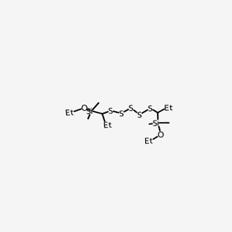 CCO[Si](C)(C)C(CC)SSSSSC(CC)[Si](C)(C)OCC